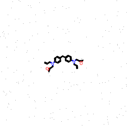 C=CCN(CC1CO1)c1ccc(Cc2ccc(N(CC=C)CC3CO3)cc2)cc1